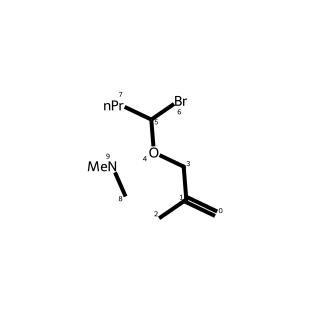 C=C(C)COC(Br)CCC.CNC